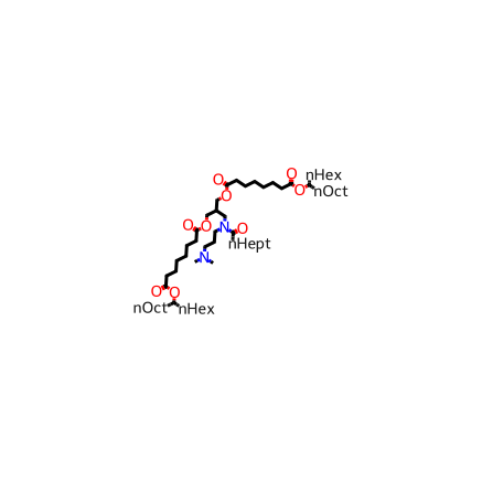 CCCCCCCCC(CCCCCC)OC(=O)CCCCCCC(=O)OCC(COC(=O)CCCCCCC(=O)OC(CCCCCC)CCCCCCCC)CN(CCCN(C)C)C(=O)CCCCCCC